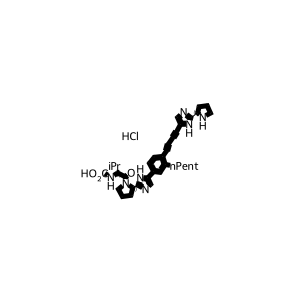 CCCCCc1cc(-c2cnc([C@@H]3CCCN3C(=O)[C@@H](NC(=O)O)C(C)C)[nH]2)ccc1C#CC#Cc1cnc([C@@H]2CCCN2)[nH]1.Cl